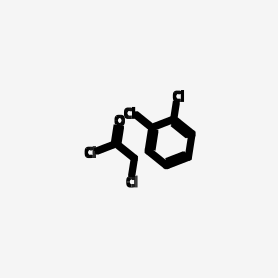 Clc1ccccc1Cl.O=C(Cl)CCl